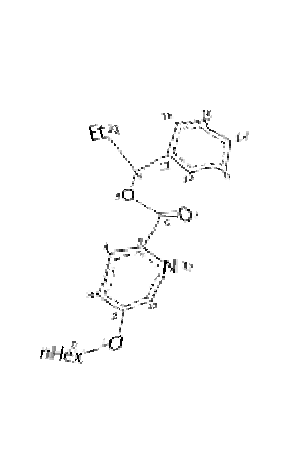 CCCCCCOc1ccc(C(=O)OC(CC)c2ccccc2)nc1